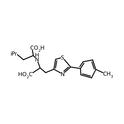 Cc1ccc(-c2nc(CC(NC(CC(C)C)C(=O)O)C(=O)O)cs2)cc1